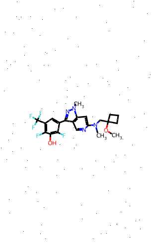 COC1(CN(C)c2cc3c(cn2)c(-c2cc(C(F)(F)F)c(F)c(O)c2F)nn3C)CCC1